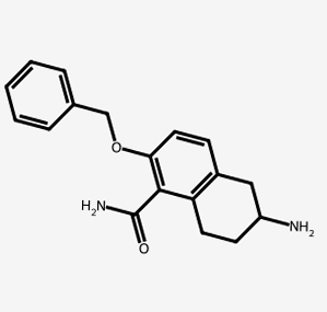 NC(=O)c1c(OCc2ccccc2)ccc2c1CCC(N)C2